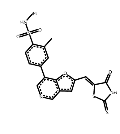 Cc1cc(-c2cncc3cc(/C=C4\SC(=S)NC4=O)oc23)ccc1S(=O)(=O)NC(C)C